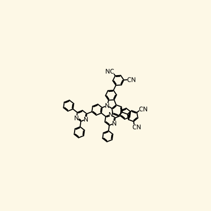 N#Cc1cc(C#N)cc(-c2ccc3c(c2)c2cc(-c4cc(C#N)cc(C#N)c4)ccc2n3-c2ccc(-c3cc(-c4ccccc4)nc(-c4ccccc4)n3)cc2-c2cc(-c3ccccc3)nc(-c3ccccc3)n2)c1